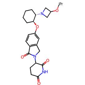 CC(C)OC1CN([C@H]2CCCC[C@@H]2Oc2ccc3c(c2)CN(C2CCC(=O)NC2=O)C3=O)C1